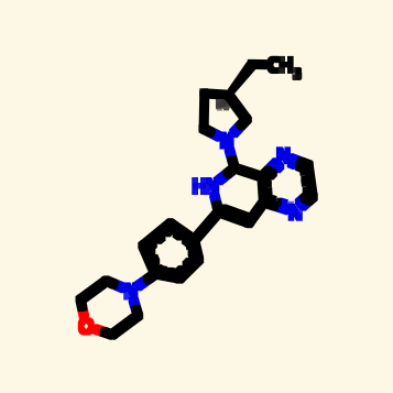 CC[C@@H]1CCN(C2NC(c3ccc(N4CCOCC4)cc3)=Cc3nccnc32)C1